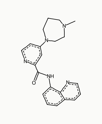 CN1CCCN(c2ccnc(C(=O)Nc3cccc4cccnc34)c2)CC1